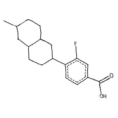 CC1CCC2CC(c3ccc(C(=O)O)cc3F)CCC2C1